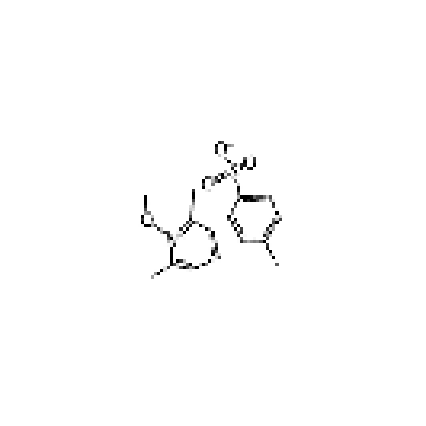 CO[n+]1c(C)cccc1C.Cc1ccc(S(=O)(=O)[O-])cc1